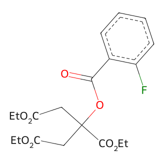 CCOC(=O)CC(CC(=O)OCC)(OC(=O)c1ccccc1F)C(=O)OCC